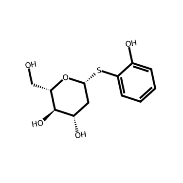 OC[C@@H]1O[C@H](Sc2ccccc2O)C[C@H](O)[C@H]1O